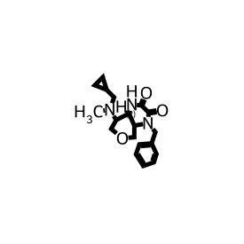 CN(CC1CC1)C1COCC2[C@@H]1NC(=O)C(=O)N2Cc1ccccc1